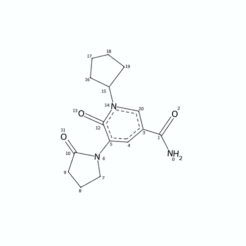 NC(=O)c1cc(N2CCCC2=O)c(=O)n(C2CCCC2)c1